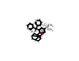 C[Si](C)(C)c1ccc(C23CC4CC(CC(C4)C2CP)C3)c(C(P)(c2cccnc2)c2cccnc2)c1